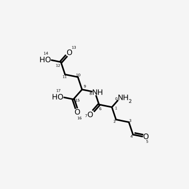 NC(CCC=O)C(=O)NC(CCC(=O)O)C(=O)O